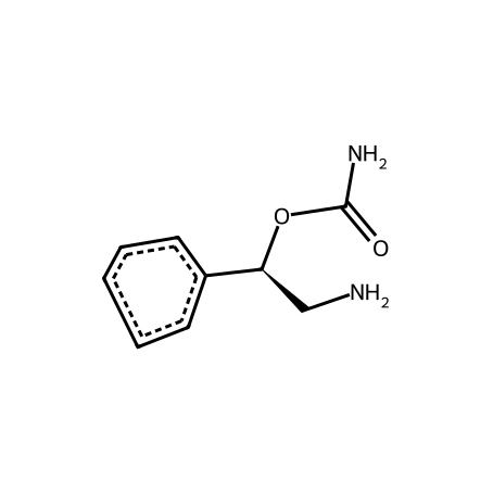 NC[C@H](OC(N)=O)c1ccccc1